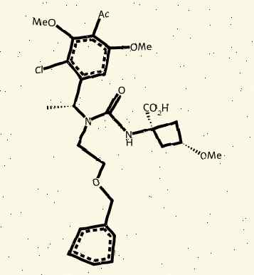 COc1cc([C@@H](C)N(CCOCc2ccccc2)C(=O)N[C@]2(C(=O)O)C[C@@H](OC)C2)c(Cl)c(OC)c1C(C)=O